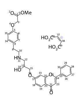 COC(=O)COc1ccc(CCNCC(O)COc2ccc3c(=O)cc(-c4ccccc4)oc3c2)cc1.O=C(O)/C=C\C(=O)O